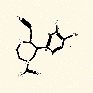 N#CCC1OCCN(C(=O)O)CC1c1ccc(Cl)c(Cl)c1